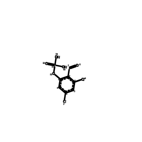 O=Ic1c(Cl)cc(Cl)cc1OP(=O)(O)O